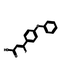 O=C(O)C=C(F)c1ccc(Oc2ccccc2)cc1